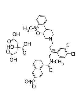 CN(C[C@@H](CCN1CCC(c2ccccc2[S@+](C)[O-])CC1)c1ccc(Cl)c(Cl)c1)C(=O)c1cccc2cc([N+](=O)[O-])ccc12.O=C(O)CC(O)(CC(=O)O)C(=O)O